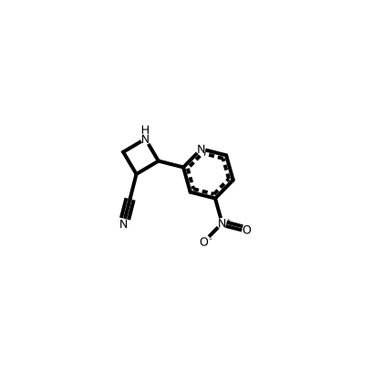 N#CC1CNC1c1cc([N+](=O)[O-])ccn1